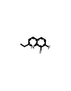 CCc1ccc2ccc(F)c(F)c2n1